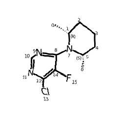 C[C@@H]1CCC[C@H](C)N1c1ncnc(Cl)c1F